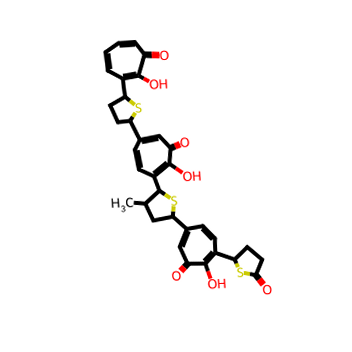 CC1CC(c2ccc(C3CCC(=O)S3)c(O)c(=O)c2)SC1c1ccc(C2CCC(c3ccccc(=O)c3O)S2)cc(=O)c1O